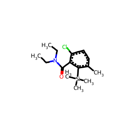 CCN(CC)C(=O)c1c(Cl)ccc(C)c1[Si](C)(C)C